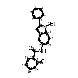 CCn1c(-c2ccccc2)cc2cc(NC(=O)c3ccccc3Cl)ccc21